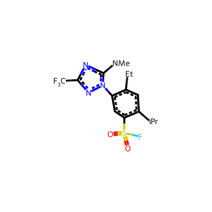 CCc1cc(C(C)C)c(S(=O)(=O)F)cc1-n1nc(C(F)(F)F)nc1NC